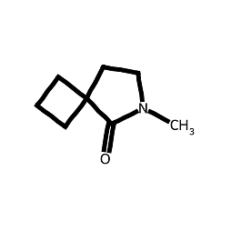 CN1CCC2(CCC2)C1=O